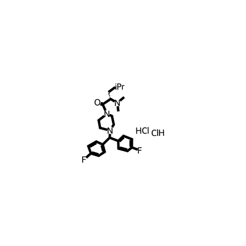 CC(C)C[C@@H](C(=O)N1CCN(C(c2ccc(F)cc2)c2ccc(F)cc2)CC1)N(C)C.Cl.Cl